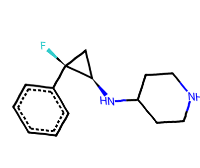 F[C@@]1(c2ccccc2)C[C@H]1NC1CCNCC1